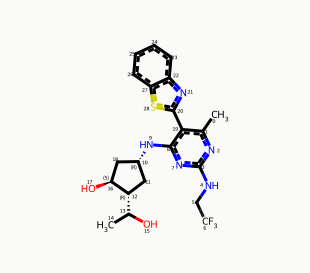 Cc1nc(NCC(F)(F)F)nc(N[C@@H]2C[C@H](C(C)O)[C@@H](O)C2)c1-c1nc2ccccc2s1